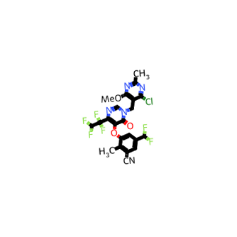 COc1nc(C)nc(Cl)c1Cn1cnc(C(F)(F)C(F)F)c(Oc2cc(C(F)F)cc(C#N)c2C)c1=O